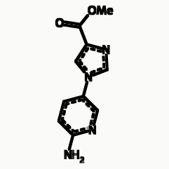 COC(=O)c1cn(-c2ccc(N)nc2)cn1